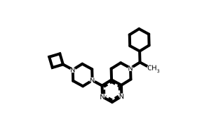 CC(C1CCCCC1)N1CCc2c(ncnc2N2CCN(C3CCC3)CC2)C1